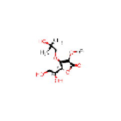 CCCOC1=C(OCC(C)(C)O)[C@@H]([C@@H](O)CO)OC1=O